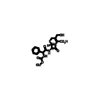 CC(C)(C)OC(=O)NC(C(=O)N[C@@H]1C(=O)N2C(C(=O)O)=C(CO)CS[C@@H]12)c1ccccc1